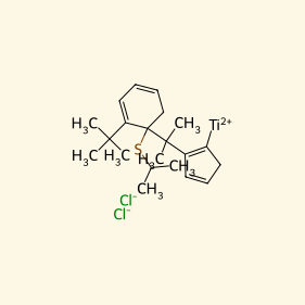 CC(C)SC1(C(C)(C)C2=[C]([Ti+2])CC=C2)CC=CC=C1C(C)(C)C.[Cl-].[Cl-]